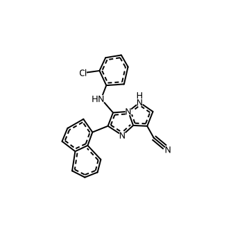 N#Cc1c[nH]n2c(Nc3ccccc3Cl)c(-c3cccc4ccccc34)nc12